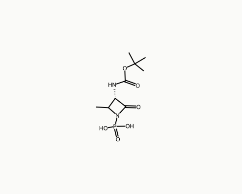 CC1[C@H](NC(=O)OC(C)(C)C)C(=O)N1P(=O)(O)O